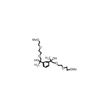 COCCOCCOCC(C)(O)c1cccc(C(C)(O)COCCOCCOC)c1